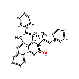 CC(=Cc1ccccc1)c1ccc(O)c(C(C)=Cc2ccccc2)c1C(C)=Cc1ccccc1